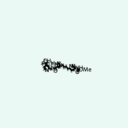 COC(=O)Nc1ccc(CCCCn2cc(C(=O)NCc3cc(C(C)(F)F)ccn3)nn2)nn1